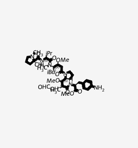 CC[C@H](C)[C@@H]([C@@H](CC(=O)N1CCC[C@H]1[C@H](OC)[C@@H](C)C(=O)N[C@@H](Cc1ccc(N)cc1)C(=O)OC)OC)N(C)C(=O)[C@@H](NC(=O)[C@@]1(C)CCCN1C)C(C)C.O=CO